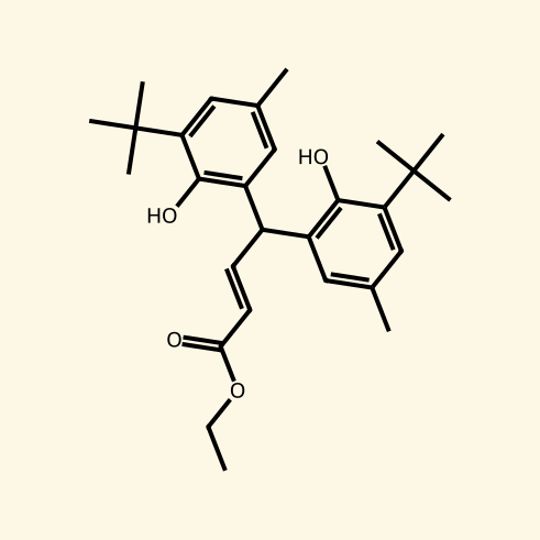 CCOC(=O)/C=C/C(c1cc(C)cc(C(C)(C)C)c1O)c1cc(C)cc(C(C)(C)C)c1O